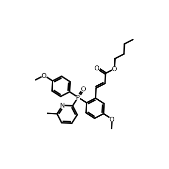 CCCCOC(=O)C=Cc1cc(OC)ccc1P(=O)(c1ccc(OC)cc1)c1cccc(C)n1